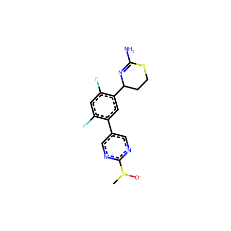 C[S+]([O-])c1ncc(-c2cc(C3CCSC(N)=N3)c(F)cc2F)cn1